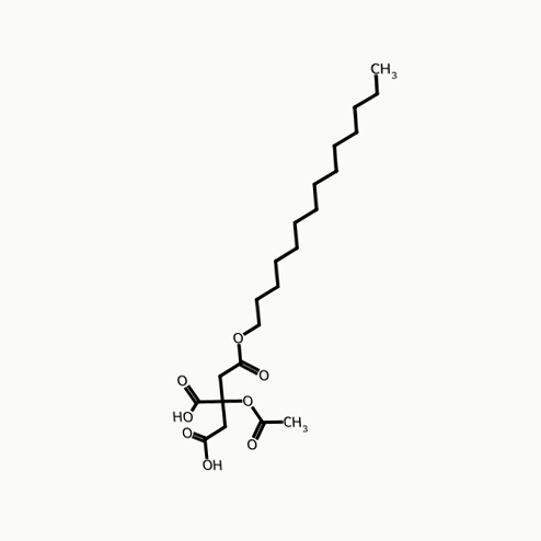 CCCCCCCCCCCCCCOC(=O)CC(CC(=O)O)(OC(C)=O)C(=O)O